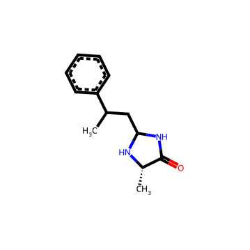 CC(CC1NC(=O)[C@H](C)N1)c1ccccc1